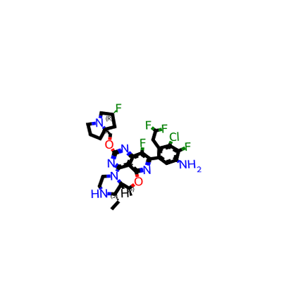 CC[C@@H]1NCCN2c3nc(OC[C@@]45CCCN4C[C@H](F)C5)nc4c(F)c(-c5cc(N)c(F)c(Cl)c5CC(F)F)nc(c34)O[C@@H](C)[C@H]12